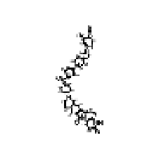 N#Cc1ccc(N2CCC3(CCN(c4ccc(C(=O)N5CCC(N6CCc7cc8c(cc7C6)C(=O)N(C6CCC(=O)NC6=O)C8=O)CC5)cc4)CC3)C2)cc1Cl